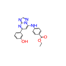 CCOC(=O)c1ccc(Nc2cc(-c3cccc(O)c3)nc3ncnn23)cc1